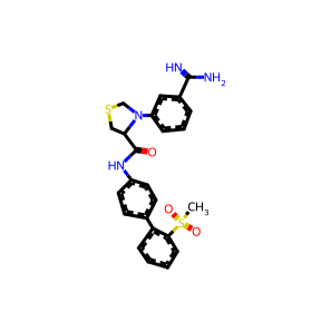 CS(=O)(=O)c1ccccc1-c1ccc(NC(=O)C2CSCN2c2cccc(C(=N)N)c2)cc1